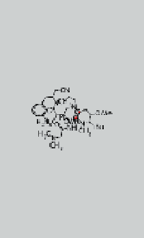 CC[C@H](C)[C@@H]([C@@H](CC(=O)N1CCC[C@H]1[C@H](OC)[C@@H](C)C(=O)N(C)[C@H](CC#N)Cc1cccc(N)c1)OC)N(C)C(=O)[C@@H](NC(=O)CN(C)C)C(C)C